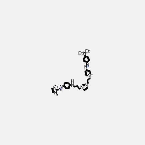 CCN(CC)c1ccc(/N=N/c2cc[n+](CCC[n+]3ccn(CCCNc4ccc(/N=N/c5n(C)cc[n+]5C)cc4)c3)cc2)cc1